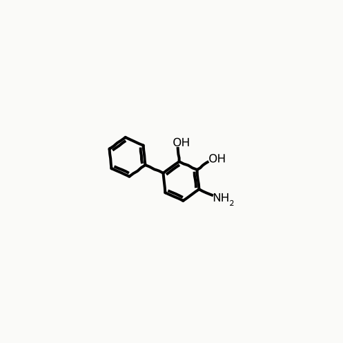 Nc1ccc(-c2ccccc2)c(O)c1O